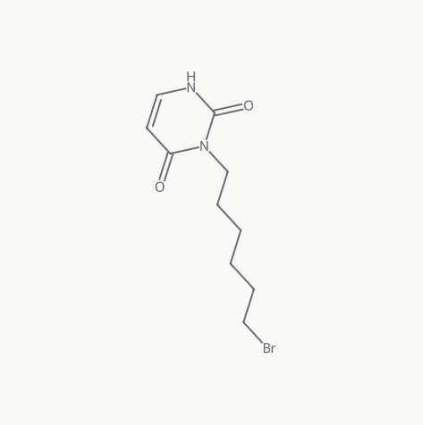 O=c1cc[nH]c(=O)n1CCCCCCBr